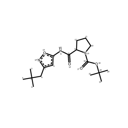 CC(C)(C)Cc1cc(NC(=O)C2CCCN2C(=O)OC(C)(C)C)on1